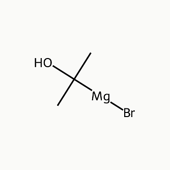 C[C](C)(O)[Mg][Br]